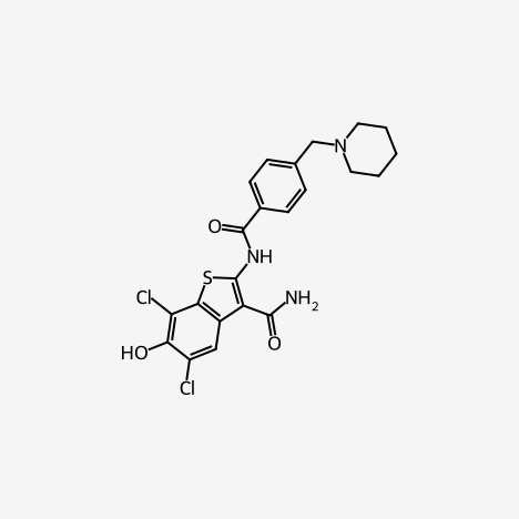 NC(=O)c1c(NC(=O)c2ccc(CN3CCCCC3)cc2)sc2c(Cl)c(O)c(Cl)cc12